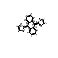 C1=CSC(=c2c3ccccc3c(=C3SC=CS3)c3ccccc23)S1